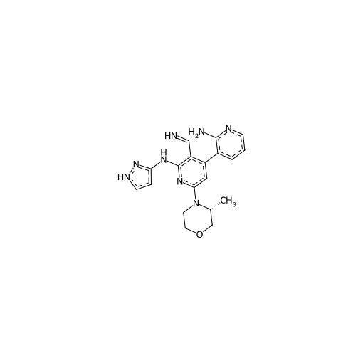 C[C@@H]1COCCN1c1cc(-c2cccnc2N)c(C=N)c(Nc2cc[nH]n2)n1